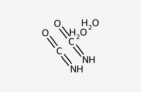 N=C=O.N=C=O.O.O